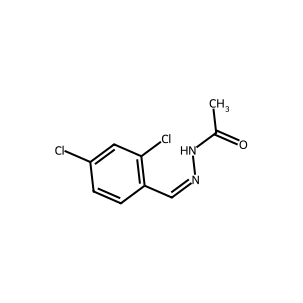 CC(=O)N/N=C\c1ccc(Cl)cc1Cl